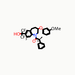 COc1cccc(OC2CCc3cc(C(O)(C(F)(F)F)C(F)(F)F)ccc3N(C(=O)[C@@H](C)c3ccccc3)C2)c1